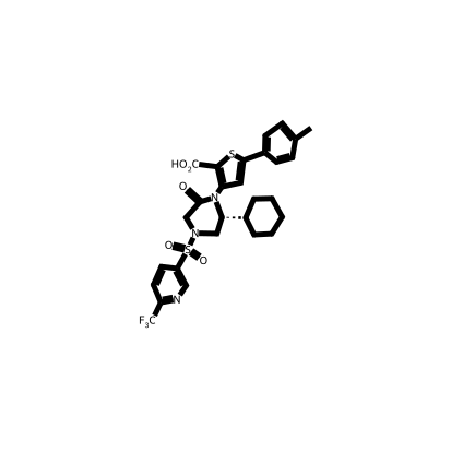 Cc1ccc(-c2cc(N3C(=O)CN(S(=O)(=O)c4ccc(C(F)(F)F)nc4)C[C@H]3C3CCCCC3)c(C(=O)O)s2)cc1